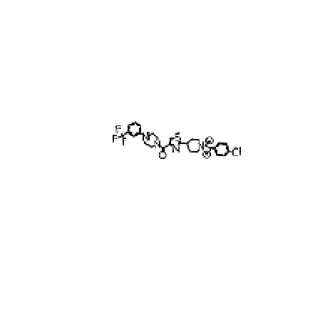 O=C(c1csc(C2CCN(S(=O)(=O)c3ccc(Cl)cc3)CC2)n1)N1CCN(c2cccc(C(F)(F)F)c2)CC1